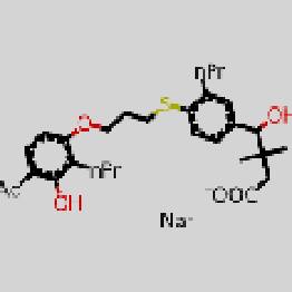 CCCc1cc(C(O)C(C)(C)CC(=O)[O-])ccc1SCCCOc1ccc(C(C)=O)c(O)c1CCC.[Na+]